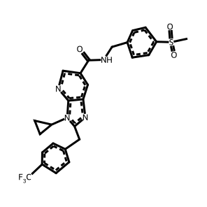 CS(=O)(=O)c1ccc(CNC(=O)c2cnc3c(c2)nc(Cc2ccc(C(F)(F)F)cc2)n3C2CC2)cc1